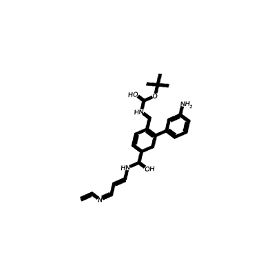 C=C/N=C\C=C\NC(O)C1C=CC(CNC(O)OC(C)(C)C)=C(c2cccc(N)c2)C1